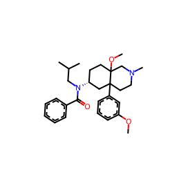 COc1cccc(C23CCN(C)CC2(OC)CC[C@@H](N(CC(C)C)C(=O)c2ccccc2)C3)c1